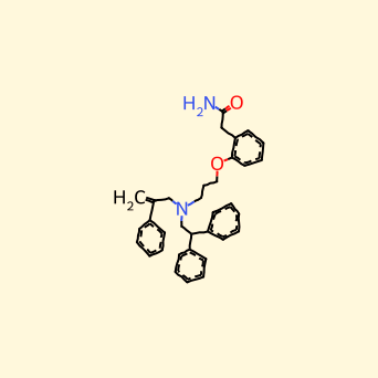 C=C(CN(CCCOc1ccccc1CC(N)=O)CC(c1ccccc1)c1ccccc1)c1ccccc1